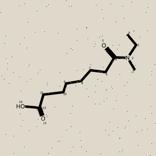 CCN(C)C(=O)CCCCCCC(=O)O